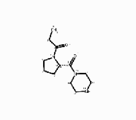 CCC(=O)N1CCC[C@H]1C(=O)N1CCNCC1